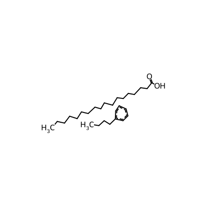 CCCCCCCCCCCCCCCCCC(=O)O.CCCCc1ccccc1